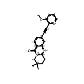 COc1cccnc1C#Cc1ccc2c(=O)n3c(nc2c1)CCC(C)(C)C3